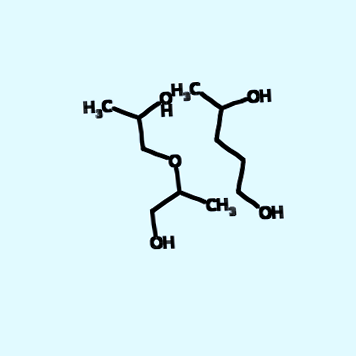 CC(O)CCCO.CC(O)COC(C)CO